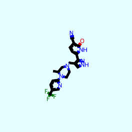 CC1CN(Cc2c[nH]nc2-c2ccc(C#N)c(=O)[nH]2)CCN1c1ccc(C(F)(F)F)cn1